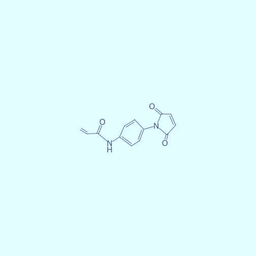 C=CC(=O)Nc1ccc(N2C(=O)C=CC2=O)cc1